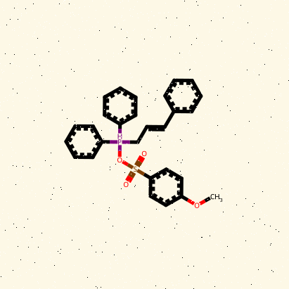 COc1ccc(S(=O)(=O)O[PH](CC=Cc2ccccc2)(c2ccccc2)c2ccccc2)cc1